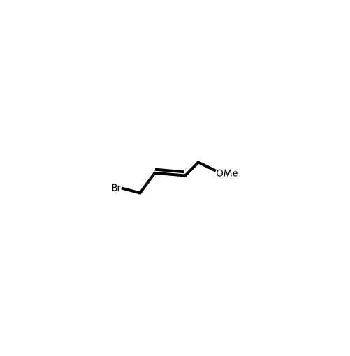 COC/C=C/CBr